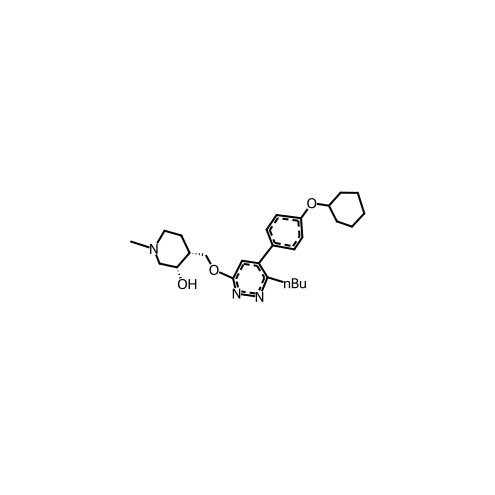 CCCCc1nnc(OC[C@H]2CCN(C)C[C@H]2O)cc1-c1ccc(OC2CCCCC2)cc1